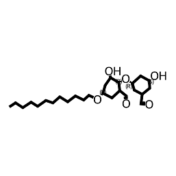 CCCCCCCCCCCCO[C@H]1CC(O)[C@H](O[C@@H]2CC(C=O)C[C@H](O)C2)C(C=O)C1